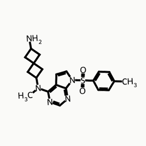 Cc1ccc(S(=O)(=O)n2ccc3c(N(C)C4CC5(CC(N)C5)C4)ncnc32)cc1